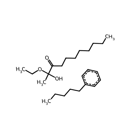 CCCCCCCCC(=O)C(C)(O)OCC.CCCCCc1ccccc1